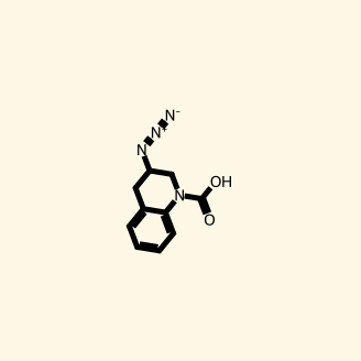 [N-]=[N+]=NC1Cc2ccccc2N(C(=O)O)C1